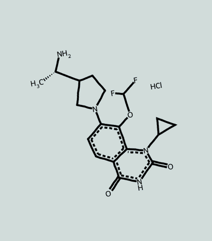 C[C@H](N)C1CCN(c2ccc3c(=O)[nH]c(=O)n(C4CC4)c3c2OC(F)F)C1.Cl